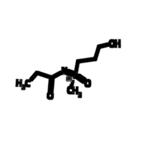 CCC(=O)N=[S@](C)(=O)CCCO